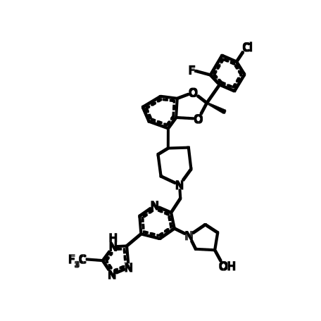 C[C@]1(c2ccc(Cl)cc2F)Oc2cccc(C3CCN(Cc4ncc(-c5nnc(C(F)(F)F)[nH]5)cc4N4CCC(O)C4)CC3)c2O1